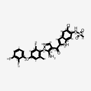 Cc1cc(Oc2cccc(F)c2F)cc(F)c1-n1ncc(C(=O)c2cc3cc(Cl)c(NS(C)(=O)=O)cc3[nH]2)c1N